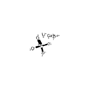 O=P([O-])([O-])[O-].[Ga+3].[Li+].[Zr+4]